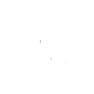 Cc1cn([C@H]2C[C@H](N=[N+]=[N-])[C@@H](CO[Si](C)(C)C(C)(C)C)O2)c(=O)[nH]c1=O